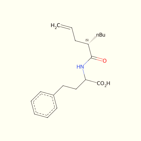 C=CC[C@H](CCCC)C(=O)NC(CCc1ccccc1)C(=O)O